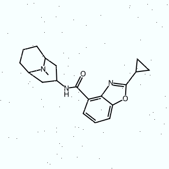 CN1C2CCCC1CC(NC(=O)c1cccc3oc(C4CC4)nc13)C2